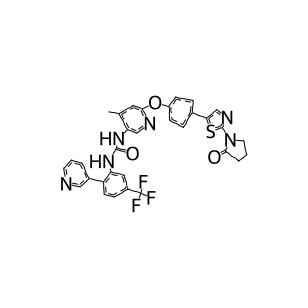 Cc1cc(Oc2ccc(-c3cnc(N4CCCC4=O)s3)cc2)ncc1NC(=O)Nc1cc(C(F)(F)F)ccc1-c1cccnc1